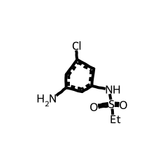 CCS(=O)(=O)Nc1cc(N)cc(Cl)c1